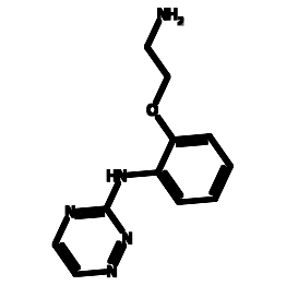 NCCOc1ccccc1Nc1nccnn1